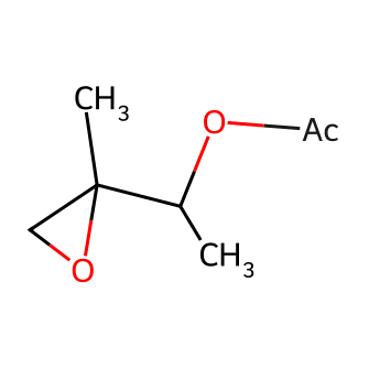 CC(=O)OC(C)C1(C)CO1